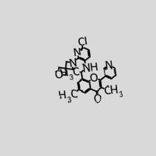 Cc1cc([C@@H](C)Nc2ccc(Cl)nc2N2CC3(COC3)C2)c2oc(-c3cccnc3)c(C)c(=O)c2c1